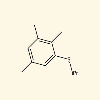 Cc1cc(C)c(C)c(SC(C)C)c1